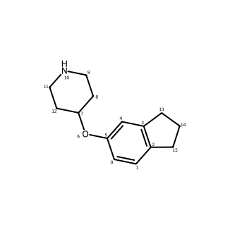 c1cc2c(cc1OC1CCNCC1)CCC2